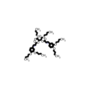 CCCCOC(=O)C(OC(=O)/C=C/c1ccc(OCCCC)c(OCCCC)c1)C(OC(=O)/C=C/c1ccc(OCCCC)c(OCCCC)c1)C(=O)OCCCC